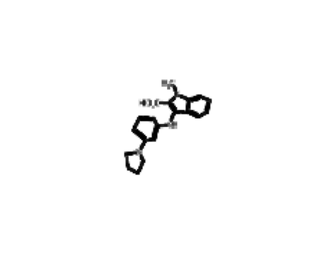 Cn1c(C(=O)O)c(Nc2cccc(N3CCCC3)c2)c2ccccc21